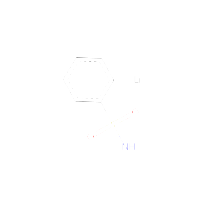 [Li+].[NH-]S(=O)(=O)c1ccccc1